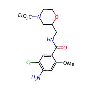 CCOC(=O)N1CCOC(CNC(=O)c2cc(Cl)c(N)cc2OC)C1